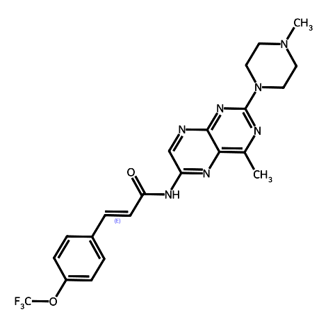 Cc1nc(N2CCN(C)CC2)nc2ncc(NC(=O)/C=C/c3ccc(OC(F)(F)F)cc3)nc12